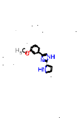 COc1cccc(-c2c[nH]c([C@@H]3CCCN3)n2)c1